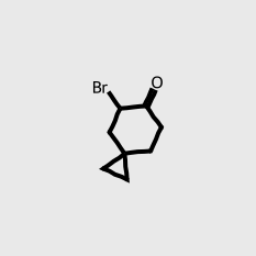 O=C1CCC2(CC2)CC1Br